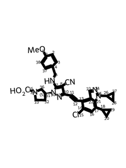 COc1ccc(CNc2c(C#N)c(C#Cc3c(Cl)cc(C4CC4)c4c3cnn4C3CC3)nn2[C@H]2CCN(C(=O)O)C2)cc1